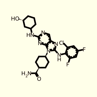 NC(=O)[C@H]1CC[C@@H](n2c(Nc3c(F)cc(F)cc3Cl)nc3cnc(NC4CCC[C@@H](O)C4)nc32)CC1